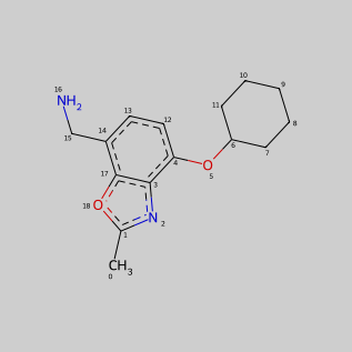 Cc1nc2c(OC3CCCCC3)ccc(CN)c2o1